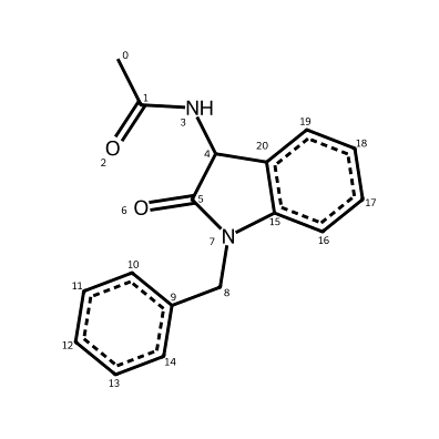 CC(=O)NC1C(=O)N(Cc2ccccc2)c2ccccc21